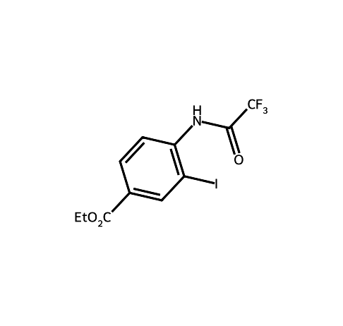 CCOC(=O)c1ccc(NC(=O)C(F)(F)F)c(I)c1